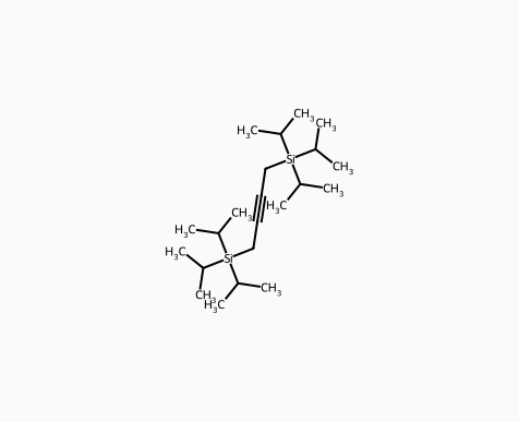 CC(C)[Si](CC#CC[Si](C(C)C)(C(C)C)C(C)C)(C(C)C)C(C)C